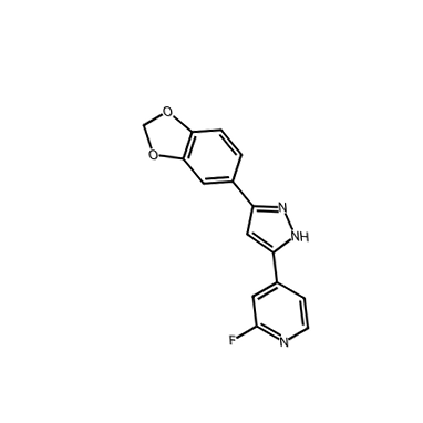 Fc1cc(-c2cc(-c3ccc4c(c3)OCO4)n[nH]2)ccn1